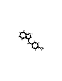 Oc1ccc(Oc2c[nH]c3ccccc23)cc1